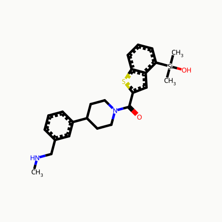 CNCc1cccc(C2CCN(C(=O)c3cc4c([Si](C)(C)O)cccc4s3)CC2)c1